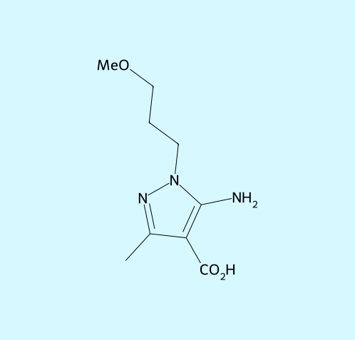 COCCCn1nc(C)c(C(=O)O)c1N